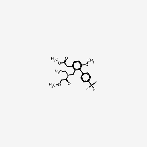 CCN(Cc1c(CC(=O)OC)ccc(OC)c1-c1ccc(C(F)(F)F)cc1)C(=O)COC